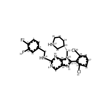 Fc1ccc(CNc2ncc3nc(-c4c(Cl)cccc4Cl)n(C[C@H]4CCCNC4)c3n2)cc1F